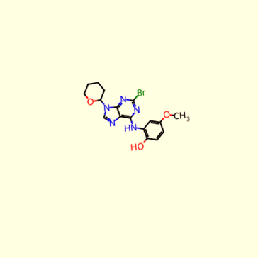 COc1ccc(O)c(Nc2nc(Br)nc3c2ncn3C2CCCCO2)c1